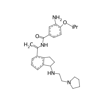 C=C(NC(=O)c1ccc(OC(C)C)c(N)c1)c1cccc2c1CCC2NCCN1CCCC1